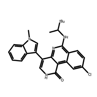 CC(Nc1nc2c(-c3cn(C)c4ccccc34)c[nH]c(=O)c2c2cc(Cl)ccc12)C(C)(C)C